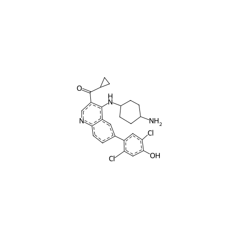 NC1CCC(Nc2c(C(=O)C3CC3)cnc3ccc(-c4cc(Cl)c(O)cc4Cl)cc23)CC1